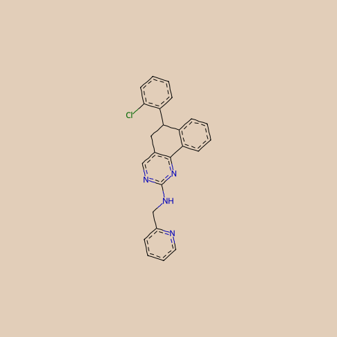 Clc1ccccc1C1Cc2cnc(NCc3ccccn3)nc2-c2ccccc21